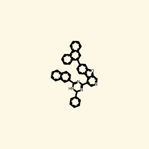 c1ccc(C2N=C(c3cncc4oc5cc(-c6cc7ccccc7c7ccccc67)ccc5c34)N=C(c3ccc4ccccc4c3)N2)cc1